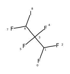 FC(F)C(F)(F)C(F)I